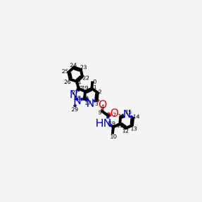 Cc1cc(OCC(=O)NC(C)c2cccnc2)nc2c1c(-c1ccccc1)nn2C